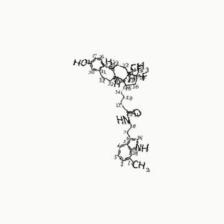 Cc1cccc2c(CCNC(=O)CCC[C@H]3CC(F)(F)[C@@]4(C)CC[C@@H]5c6ccc(O)cc6CC[C@H]5[C@H]34)c[nH]c12